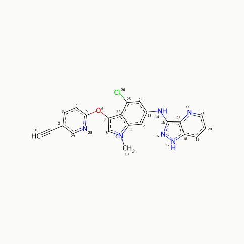 C#Cc1ccc(Oc2cn(C)c3cc(Nc4n[nH]c5cccnc45)cc(Cl)c23)nc1